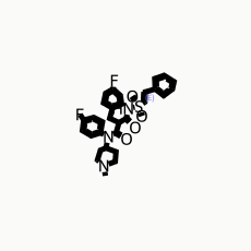 CN1CCC(N(C(=O)C(Cc2ccc(F)cc2)C(=O)NS(=O)(=O)/C=C/c2ccccc2)c2ccc(F)cc2)CC1